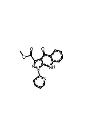 COC(=O)c1nn(-c2ccccn2)c2[nH]c3ccccc3c(=O)c12